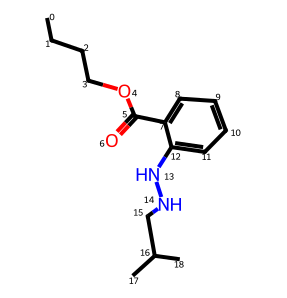 CCCCOC(=O)c1ccccc1NNCC(C)C